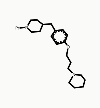 CC(C)N1CCC(Cc2ccc(OCCCN3CCCCC3)cc2)CC1